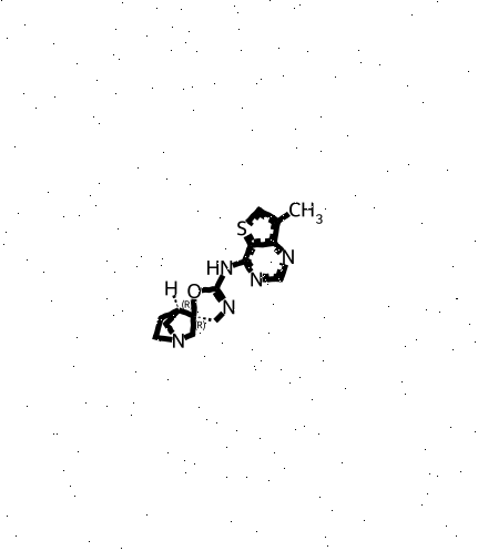 Cc1csc2c(NC3=NC[C@@]4(CN5CC[C@@H]4C5)O3)ncnc12